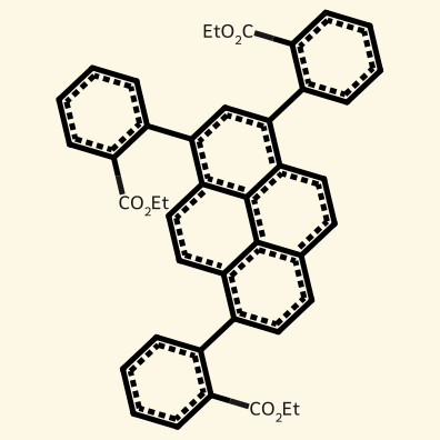 CCOC(=O)c1ccccc1-c1ccc2ccc3c(-c4ccccc4C(=O)OCC)cc(-c4ccccc4C(=O)OCC)c4ccc1c2c34